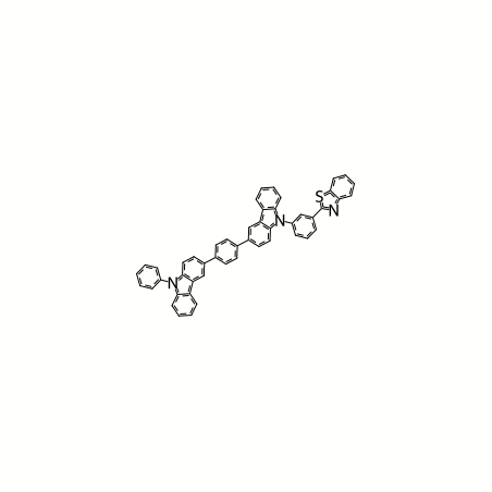 c1ccc(-n2c3ccccc3c3cc(-c4ccc(-c5ccc6c(c5)c5ccccc5n6-c5cccc(-c6nc7ccccc7s6)c5)cc4)ccc32)cc1